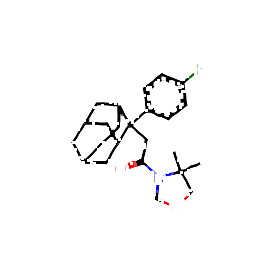 CC1(C)COCN1C(=O)CC1(c2ccc(F)cc2)C2CC3CC(C2)CC1C3